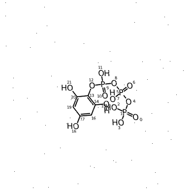 O=P(O)(O)OP(=O)(O)OP(=O)(O)Oc1c(O)cc(O)cc1O